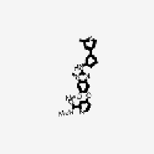 CNC(=O)c1cc(Oc2cc3nc(Nc4cccc(-c5ccnc(C)c5)c4)n(C)c3cc2OC)ccn1